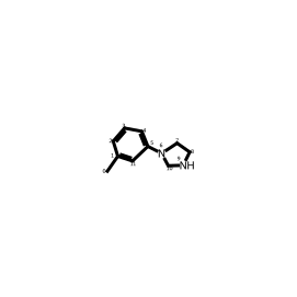 Cc1cccc(N2CCNC2)c1